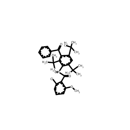 COc1cccc(Cl)c1C(=O)[PH](=O)c1c(C(C)(C)C)cc(C(C)(C)C)c(C(=O)c2ccccc2)c1C(C)(C)C